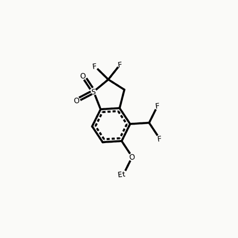 CCOc1ccc2c(c1C(F)F)CC(F)(F)S2(=O)=O